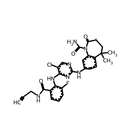 C#CCNC(=O)c1cccc(F)c1Nc1nc(Nc2ccc3c(c2)N(C(N)=O)C(=O)[C]CC3(C)C)ncc1Cl